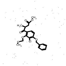 COCOc1c(C(=O)C(C)CC(=O)OC)ccc(OCc2ccccc2)c1Cl